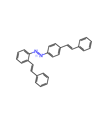 C(=Cc1ccc(/N=N/c2ccccc2C=Cc2ccccc2)cc1)c1ccccc1